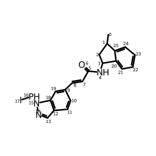 CC1CC(NC(=O)/C=C/c2ccc3cnn(PI)c3c2)c2ccccc21